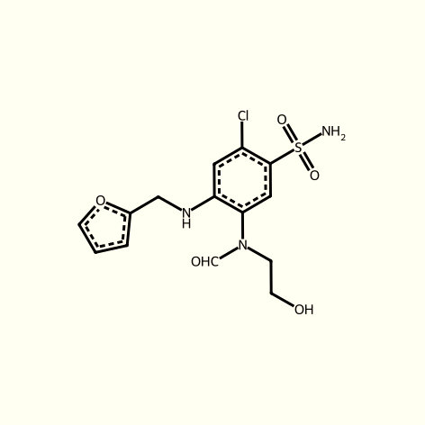 NS(=O)(=O)c1cc(N(C=O)CCO)c(NCc2ccco2)cc1Cl